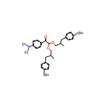 CCN(CC)c1ccc(C(=O)C(OCC(C)Cc2ccc(C(C)(C)C)cc2)OCC(C)Cc2ccc(C(C)(C)C)cc2)cc1